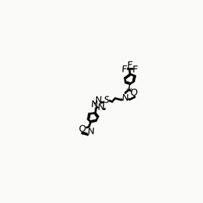 Cn1c(SCCCN2CCO[C@H](c3ccc(C(F)(F)F)cc3)C2)nnc1-c1ccc(-c2ncco2)cc1